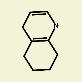 C1=C[N]C2=C(C1)CCCC2